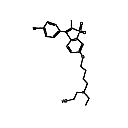 CCN(CCO)CCCCOc1ccc2c(c1)S(=O)(=O)C(C)=C2c1ccc(Br)cc1